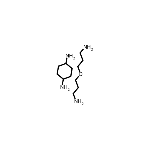 NC1CCC(N)CC1.NCCCOCCCN